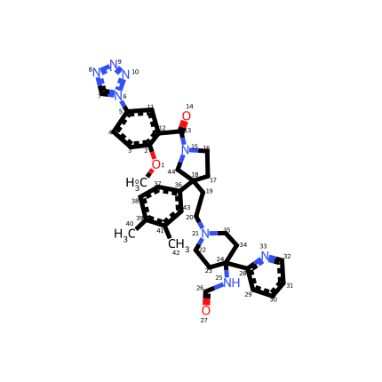 COc1ccc(-n2cnnn2)cc1C(=O)N1CCC(CCN2CCC(NC=O)(c3ccccn3)CC2)(c2ccc(C)c(C)c2)C1